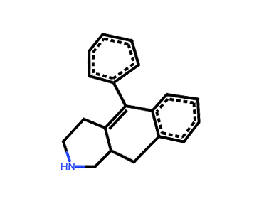 c1ccc(C2=C3CCNCC3Cc3ccccc32)cc1